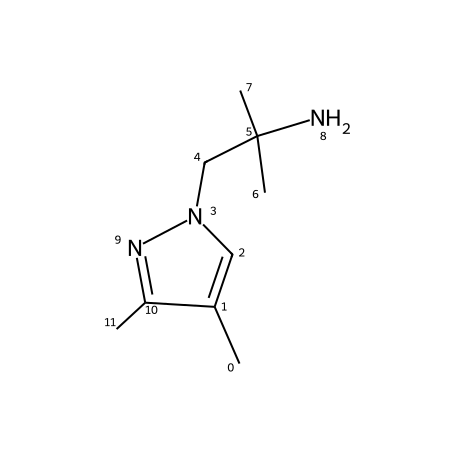 Cc1cn(CC(C)(C)N)nc1C